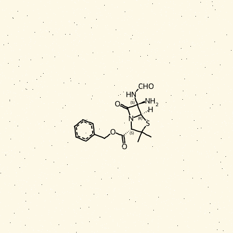 CC1(C)S[C@H]2N(C(=O)[C@]2(N)NC=O)[C@H]1C(=O)OCc1ccccc1